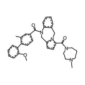 COc1ccccc1-c1ccc(C(=O)N2Cc3ccc(C(=O)N4CCCN(C)CC4)n3Cc3ccccc32)cc1C